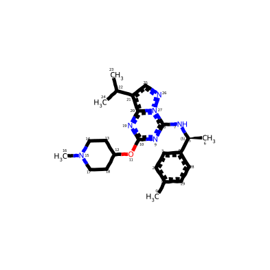 Cc1ccc([C@H](C)Nc2nc(OC3CCN(C)CC3)nc3c(C(C)C)cnn23)cc1